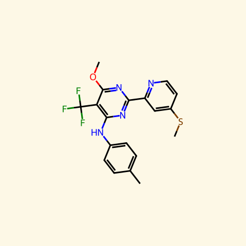 COc1nc(-c2cc(SC)ccn2)nc(Nc2ccc(C)cc2)c1C(F)(F)F